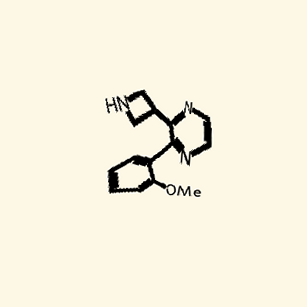 COc1ccccc1-c1nccnc1C1CNC1